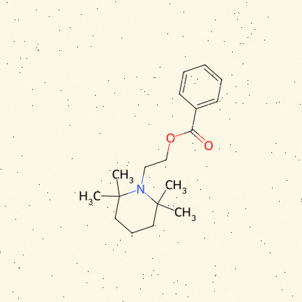 CC1(C)C[CH]CC(C)(C)N1CCOC(=O)c1ccccc1